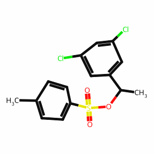 Cc1ccc(S(=O)(=O)OC(C)c2cc(Cl)cc(Cl)c2)cc1